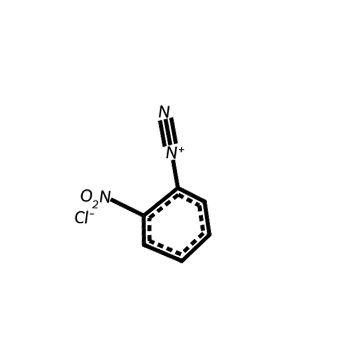 N#[N+]c1ccccc1[N+](=O)[O-].[Cl-]